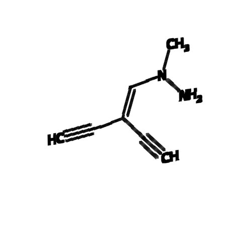 C#CC(C#C)=CN(C)N